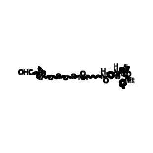 C=CN(OC(=O)CCOCCOCCOCCOCCNC(=O)CCCCCCCNC(=O)[C@H]1CC[C@H](NC(=O)c2cc3sccc3n2CC(=O)N(CC)c2cccc(C)c2)CC1)C(=O)CCC=O